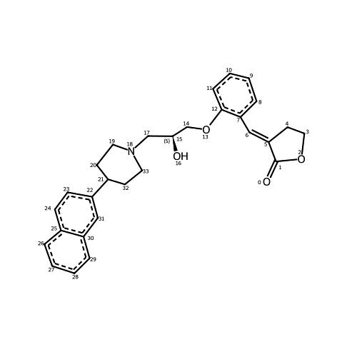 O=C1OCCC1=Cc1ccccc1OC[C@@H](O)CN1CCC(c2ccc3ccccc3c2)CC1